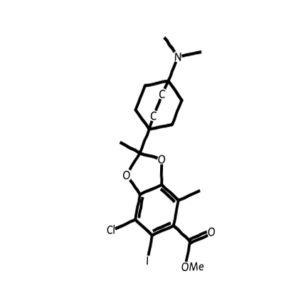 COC(=O)c1c(C)c2c(c(Cl)c1I)OC(C)(C13CCC(N(C)C)(CC1)CC3)O2